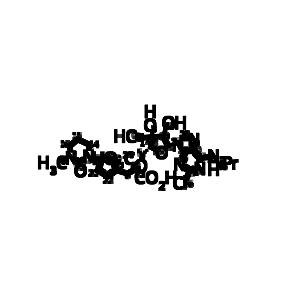 C#C[C@@]1(O)[C@@H](COC(Cc2ccc(N3CCCN(C)C3=O)cc2)(C(=O)O)C(=O)O)O[C@@H](n2cnc3c(NC(C)C)nc(Cl)nc32)[C@@H]1O